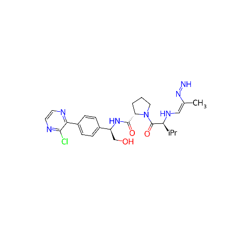 C/C(=C/N[C@H](C(=O)N1CCC[C@H]1C(=O)N[C@@H](CO)c1ccc(-c2nccnc2Cl)cc1)C(C)C)N=N